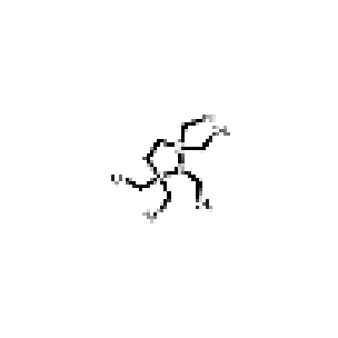 CCN1[Si](CC)(CC)CC[Si]1(CC)CC